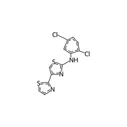 Clc1ccc(Cl)c(Nc2nc(-c3nccs3)cs2)c1